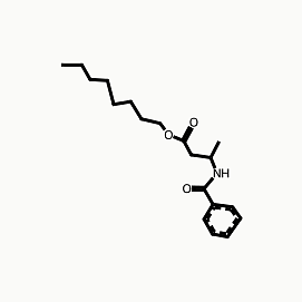 CCCCCCCCOC(=O)CC(C)NC(=O)c1ccccc1